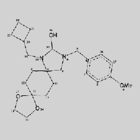 COc1ccc(CN2CC3(CCC4(CC3)OCCO4)N(CC3CCC3)C2O)cc1